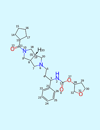 O=C(NC(CCN1CC2CN(C(=O)C3CCCC3)C[C@@H]2C1)c1ccccc1)OC1CCOC1